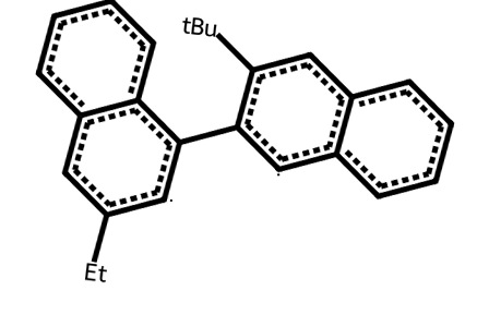 CCc1[c]c(-c2[c]c3ccccc3cc2C(C)(C)C)c2ccccc2c1